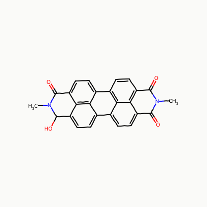 CN1C(=O)c2ccc3c4ccc5c6c(ccc(c7ccc(c2c37)C1=O)c64)C(O)N(C)C5=O